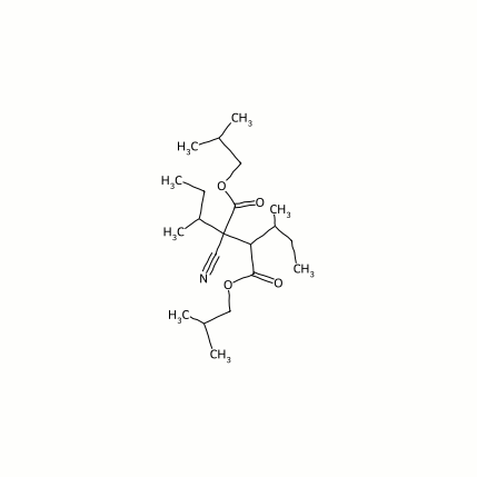 CCC(C)C(C(=O)OCC(C)C)C(C#N)(C(=O)OCC(C)C)C(C)CC